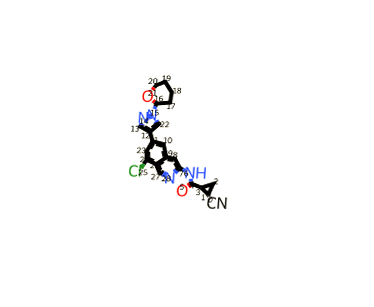 N#CC1CC1C(=O)Nc1cc2cc(-c3cnn(C4CCCCO4)c3)cc(Cl)c2cn1